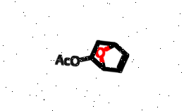 CC(=O)OC1CC2C=CC1O2